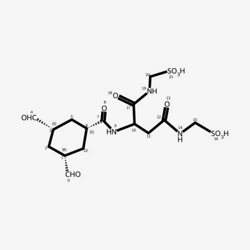 O=C[C@@H]1C[C@H](C=O)C[C@H](C(=O)NC(CC(=O)NCS(=O)(=O)O)C(=O)NCS(=O)(=O)O)C1